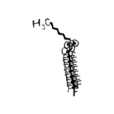 CCCCCCCCS(=O)(=O)OC(=O)C(F)(F)C(F)(F)C(F)(F)C(F)(F)C(F)(F)C(F)(F)C(F)(F)F